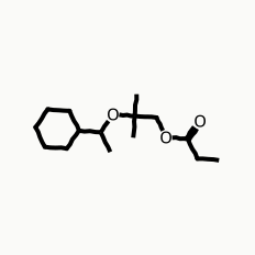 CCC(=O)OCC(C)(C)OC(C)C1CCCCC1